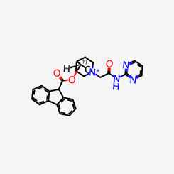 O=C(C[N+]12CCC(CC1)[C@@H](OC(=O)C1c3ccccc3-c3ccccc31)C2)Nc1ncccn1